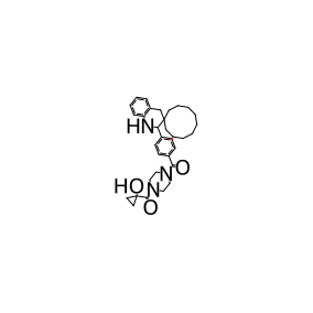 O=C(c1ccc(C2Nc3ccccc3CC23CCCCCCCCC3)cc1)N1CCN(C(=O)C2(O)CC2)CC1